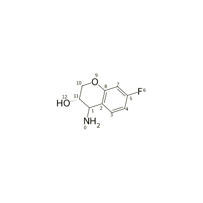 NC1c2ccc(F)cc2OC[C@H]1O